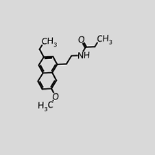 CCC(=O)NCCc1cc(CC)cc2ccc(OC)cc12